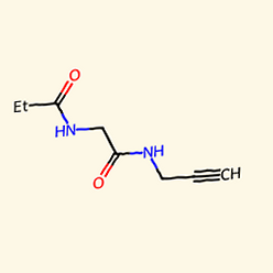 C#CCNC(=O)CNC(=O)CC